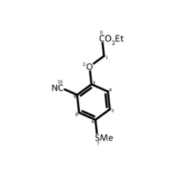 CCOC(=O)COc1ccc(SC)cc1C#N